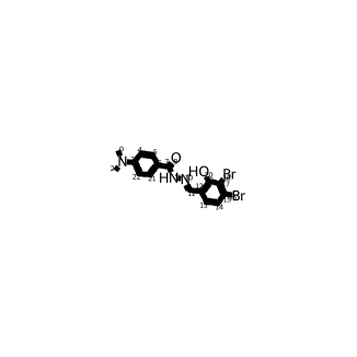 CN(C)c1ccc(C(=O)NN=Cc2ccc(Br)c(Br)c2O)cc1